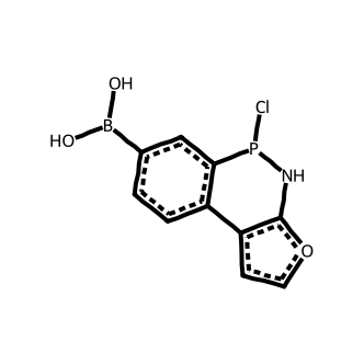 OB(O)c1ccc2c(c1)P(Cl)Nc1occc1-2